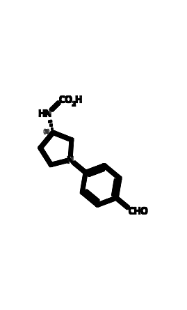 O=Cc1ccc(N2CC[C@H](NC(=O)O)C2)cc1